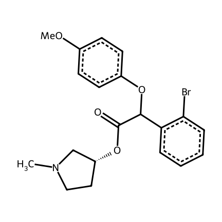 COc1ccc(OC(C(=O)O[C@@H]2CCN(C)C2)c2ccccc2Br)cc1